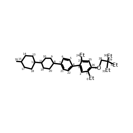 CCc1cc(-c2ccc(C3CCC(C4CCC(C)CC4)CC3)cc2)c(CC)cc1OCC(CC)(CC)CC